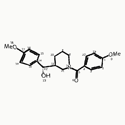 COc1ccc(C(=O)N2CCCC([C@H](O)c3ccc(OC)cc3)C2)cc1